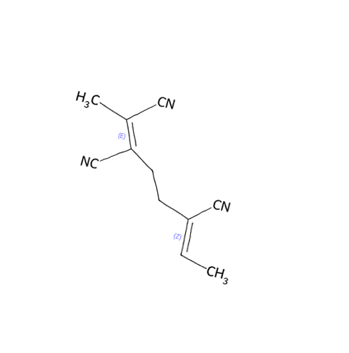 C/C=C(\C#N)CC/C(C#N)=C(/C)C#N